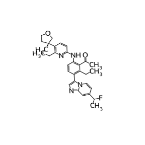 CCc1nc(Nc2ccc(-c3cnc4cc(C(C)F)ccn34)c(CC)c2C(C)=O)ccc1[C@]1(C)CCOC1